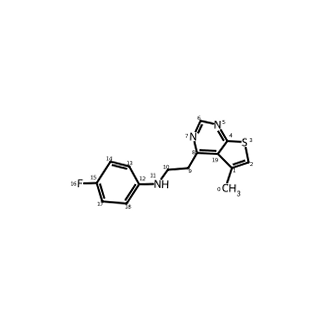 Cc1csc2ncnc(CCNc3ccc(F)cc3)c12